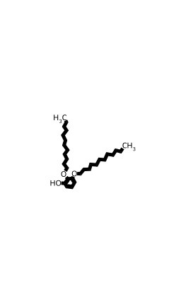 CCCCCCCCCCCCOc1cccc(O)c1OCCCCCCCCCCCC